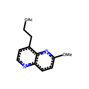 COc1ccc2nccc(CCOC(C)=O)c2n1